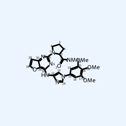 CNC(=O)C1CCCN1c1nc(Nc2cn(-c3cc(OC)c(OC)c(OC)c3)cn2)c2occc2n1